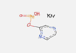 O=[PH](O)Oc1cnccn1.[KH]